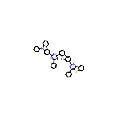 C1=CC2c3cc(-c4nc(-c5ccccc5)nc(-c5cccc6c5oc5cc(-c7nc(-c8ccccc8)c8sc9ccccc9c8n7)ccc56)n4)ccc3N(c3ccccc3)C2C=C1